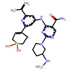 C=C(C)c1cc(Nc2nc(N3CCCC(NC(=O)O)C3)ncc2C(N)=O)cc(C2=CCS(O)(O)CC2)n1